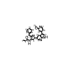 C=CC(=O)Nc1cc(-c2cnc3[nH]cc(-c4ccnc(OC)c4)c3c2)nn1Cc1ccccn1